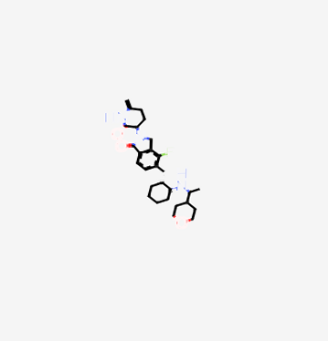 C=C1CCC(N2Cc3c(ccc(C[C@H]4CCCC[C@@H]4NC(C)C4CCOCC4)c3F)C2=O)C(=O)N1